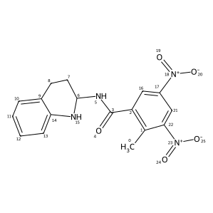 Cc1c(C(=O)NC2CCc3ccccc3N2)cc([N+](=O)[O-])cc1[N+](=O)[O-]